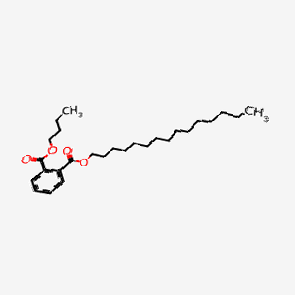 CCCCCCCCCCCCCCCOC(=O)c1ccccc1C(=O)OCCCC